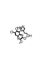 COc1nc2cc(Cl)c(Cl)c(N3NN=CC3CCO)c2nc1OC